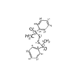 C=S(=O)(SSS(=C)(=O)c1ccccc1)c1ccccc1